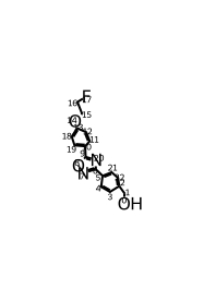 OCc1ccc(-c2noc(-c3ccc(OCCF)cc3)n2)cc1